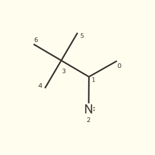 CC([N])C(C)(C)C